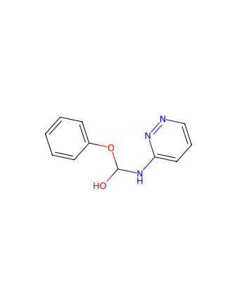 OC(Nc1cccnn1)Oc1ccccc1